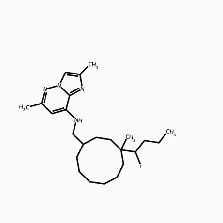 CCCC(I)C1(C)CCCCCCC(CNc2cc(C)nn3cc(C)nc23)CC1